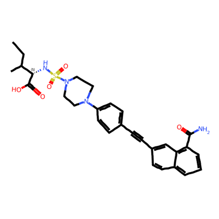 CCC(C)[C@H](NS(=O)(=O)N1CCN(c2ccc(C#Cc3ccc4cccc(C(N)=O)c4c3)cc2)CC1)C(=O)O